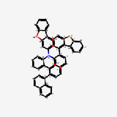 c1ccc(-c2cccc3ccccc23)c(-c2ccccc2N(c2ccc3c(c2)oc2ccccc23)c2ccccc2-c2cccc3sc4ccccc4c23)c1